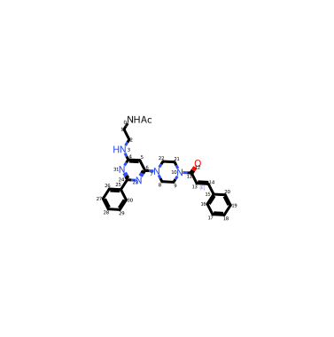 CC(=O)NCCNc1cc(N2CCN(C(=O)/C=C/c3ccccc3)CC2)nc(-c2ccccc2)n1